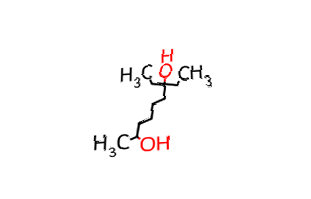 CCC(O)(CC)CCCCC(C)O